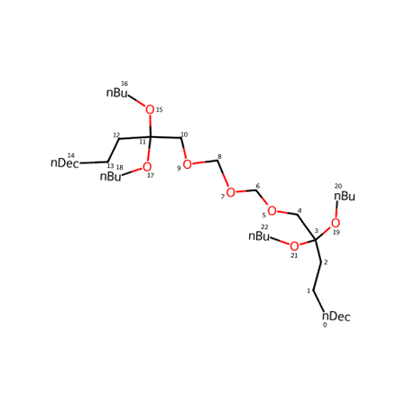 CCCCCCCCCCCCC(COCOCOCC(CCCCCCCCCCCC)(OCCCC)OCCCC)(OCCCC)OCCCC